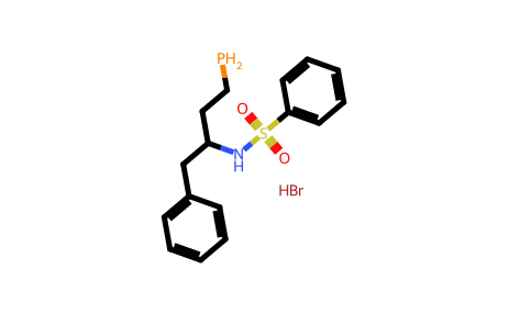 Br.O=S(=O)(NC(CCP)Cc1ccccc1)c1ccccc1